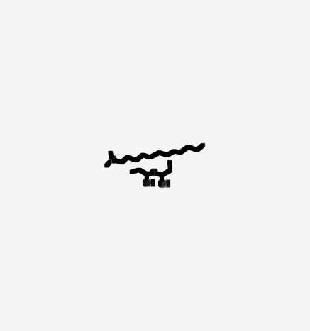 CCC(O)OC(O)CC.CCCCCCCCCCCCN(C)C